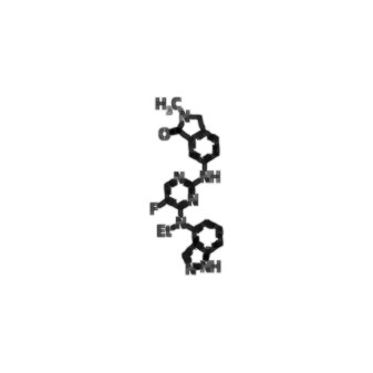 CCN(c1nc(Nc2ccc3c(c2)C(=O)N(C)C3)ncc1F)c1cccc2[nH]ncc12